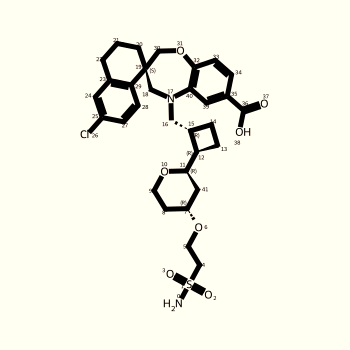 NS(=O)(=O)CCO[C@@H]1CCO[C@@H]([C@@H]2CC[C@H]2CN2C[C@@]3(CCCc4cc(Cl)ccc43)COc3ccc(C(=O)O)cc32)C1